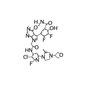 C[C@H]1CN(C2COC2)CCN1c1cc(NC(=O)Cn2cc(-c3cc(C(N)=O)c(O)c(F)c3F)c3c(=O)n(C)cnc32)c(Cl)c(F)n1